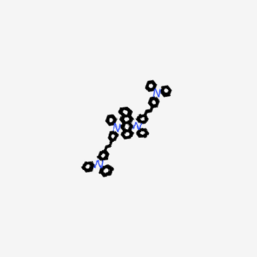 C(=Cc1ccc(N(c2ccccc2)c2c3ccccc3c(N(c3ccccc3)c3ccc(C=Cc4ccc(N(c5ccccc5)c5ccccc5)cc4)cc3)c3cc4ccccc4cc23)cc1)c1ccc(N(c2ccccc2)c2ccccc2)cc1